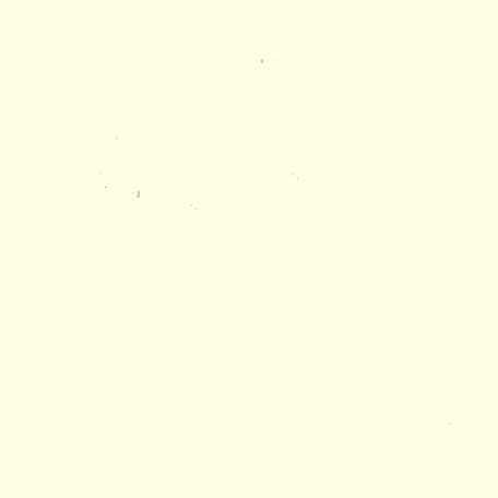 CCCCCC/C=C\CCCC(=O)OCCCCCC(C(=O)NC12CC3CC(CC(C3)C1)C2)N(CCCN(C)C)C(=O)CCC/C=C\CCCCCC